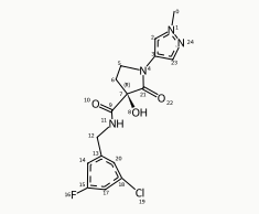 Cn1cc(N2CC[C@@](O)(C(=O)NCc3cc(F)cc(Cl)c3)C2=O)cn1